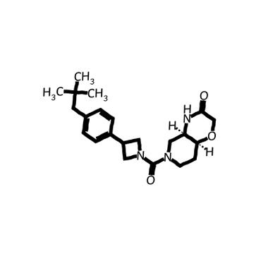 CC(C)(C)Cc1ccc(C2CN(C(=O)N3CC[C@@H]4OCC(=O)N[C@@H]4C3)C2)cc1